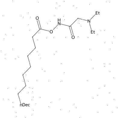 CCCCCCCCCCCCCCCCCC(=O)ONC(=O)CN(CC)CC